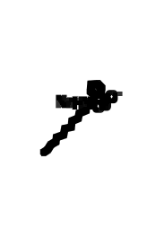 CCCCCCCCCCCCNC(=O)c1ccccc1C(=O)[O-].[Na+]